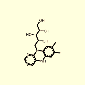 Cc1cc2c(cc1C)N(C[C@@H](O)[C@@H](O)[C@@H](O)CO)c1ncncc1N2